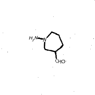 NN1CCCC([C]=O)C1